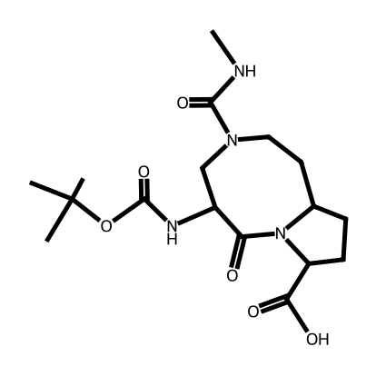 CNC(=O)N1CCC2CCC(C(=O)O)N2C(=O)C(NC(=O)OC(C)(C)C)C1